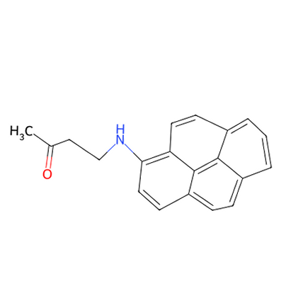 CC(=O)CCNc1ccc2ccc3cccc4ccc1c2c34